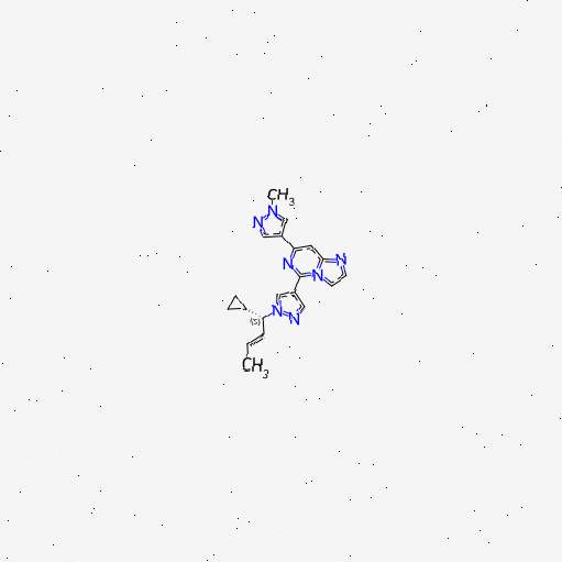 CC=C[C@H](C1CC1)n1cc(-c2nc(-c3cnn(C)c3)cc3nccn23)cn1